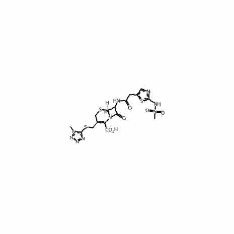 Cn1nnnc1SCC1=C(C(=O)O)N2C(=O)C(NC(=O)Cc3cnc(NS(C)(=O)=O)s3)[C@@H]2SC1